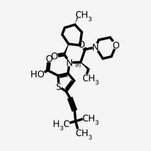 CC[C@H](C(=O)N1CCOCC1)N(c1cc(C#CC(C)(C)C)sc1C(=O)O)C(=O)[C@H]1CC[C@H](C)CC1